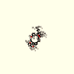 CCn1c(-c2cccnc2[C@H](C)OC)c2c3cc(ccc31)-c1csc(n1)[C@@H](O)[Si@H](NC(=O)[C@H](C(C)C)N(C)C(=O)N1CC(N(C)C)C1)C(=O)N1CCC[C@H](N1)C(=O)OCC(C)(C)C2